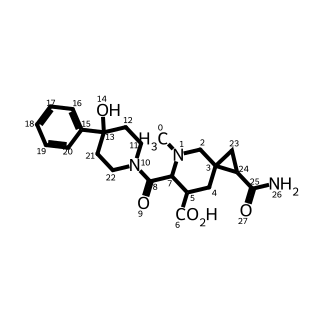 CN1CC2(CC(C(=O)O)C1C(=O)N1CCC(O)(c3ccccc3)CC1)CC2C(N)=O